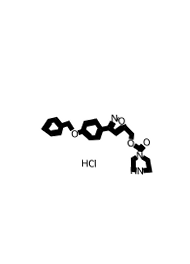 Cl.O=C(OCc1cc(-c2ccc(OCc3ccccc3)cc2)no1)N1CCNCC1